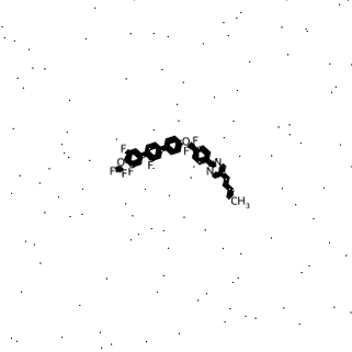 C/C=C/CCc1cnc(-c2ccc(C(F)(F)Oc3ccc(-c4ccc(-c5cc(F)c(OC(F)F)c(F)c5)c(F)c4)cc3)cc2)nc1